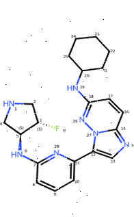 F[C@H]1CNC[C@@H]1Nc1cccc(-c2cnc3ccc(NC4CCCCC4)nn23)n1